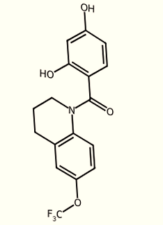 O=C(c1ccc(O)cc1O)N1CCCc2cc(OC(F)(F)F)ccc21